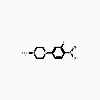 CN1CCN(c2ccc(B(O)O)c(Cl)c2)CC1